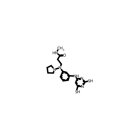 CNC(=O)CCN(c1cccc(Nc2cc(S)nc(S)n2)c1)N1CCCC1